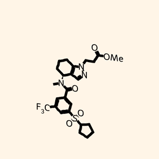 COC(=O)CCn1ncc2c1CCC[C@H]2N(C)C(=O)c1cc(C(F)(F)F)cc(S(=O)(=O)C2CCCC2)c1